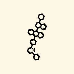 C1=CC2C(C3=CC=C(c4cccc(C5=CCCC=C5)n4)CC3)=c3ccccc3=C(C3=c4ccccc4=C(C4CCCCC4)CC3)C2C=C1